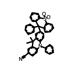 CC1(C)c2cc(C#N)ccc2N(c2ccccc2)c2ccc(C3(c4ccccc4)c4ccccc4S(=O)(=O)c4ccccc43)cc21